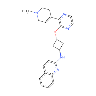 O=C(O)N1CC=C(c2nccnc2O[C@H]2C[C@H](Nc3ccc4ccccc4n3)C2)CC1